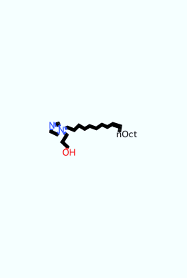 CCCCCCCC/C=C\CCCCCCCC[N+]1(CCCO)C=NCC1